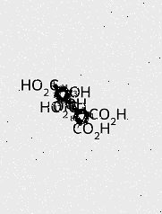 O=C(O)c1cc(C(=O)O)cc(C(=O)O)c1.O=C(O)c1cc(O)c(O)c(O)c1